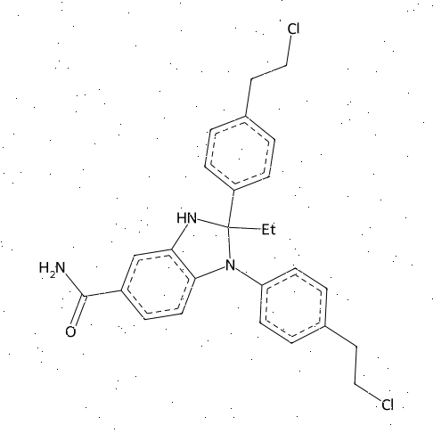 CCC1(c2ccc(CCCl)cc2)Nc2cc(C(N)=O)ccc2N1c1ccc(CCCl)cc1